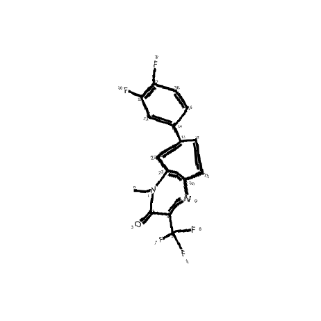 Cn1c(=O)c(C(F)(F)F)nc2ccc(-c3ccc(F)c(F)c3)cc21